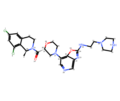 C[C@H]1c2c(Cl)cc(Cl)cc2CCN1C(=O)[C@H]1CN(c2cncc3nc(NCCN4CCNCC4)oc23)CCO1